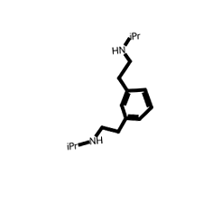 CC(C)NCCc1cccc(CCNC(C)C)c1